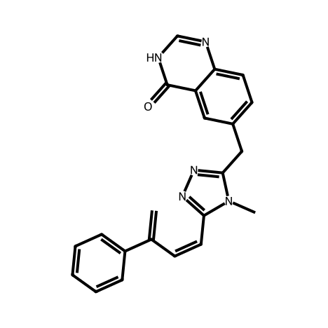 C=C(/C=C\c1nnc(Cc2ccc3nc[nH]c(=O)c3c2)n1C)c1ccccc1